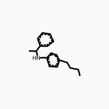 CCCCc1ccc(NC(C)c2ccccc2)cc1